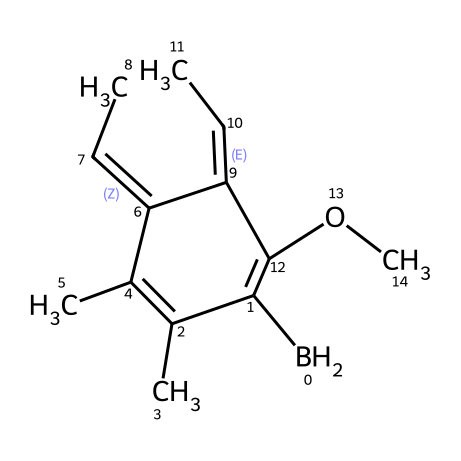 Bc1c(C)c(C)c(=C/C)/c(=C\C)c1OC